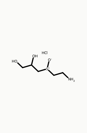 Cl.NCC[S+]([O-])CC(O)CO